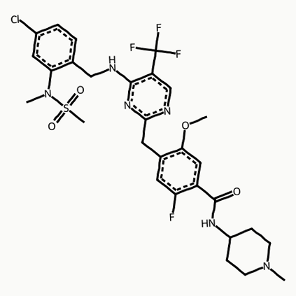 COc1cc(C(=O)NC2CCN(C)CC2)c(F)cc1Cc1ncc(C(F)(F)F)c(NCc2ccc(Cl)cc2N(C)S(C)(=O)=O)n1